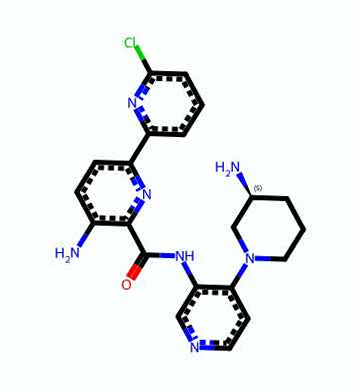 Nc1ccc(-c2cccc(Cl)n2)nc1C(=O)Nc1cnccc1N1CCC[C@H](N)C1